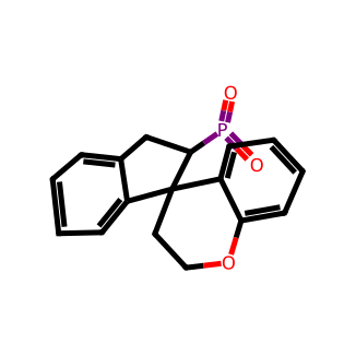 O=P(=O)C1Cc2ccccc2C12CCOc1ccccc12